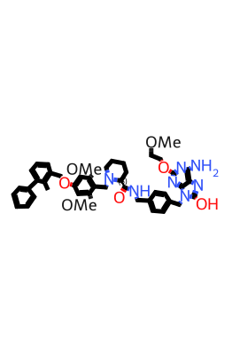 COCCOc1nc(N)c2nc(O)n(Cc3ccc(CNC(=O)[C@@H]4CCCCN4Cc4c(OC)cc(OCc5cccc(-c6ccccc6)c5C)cc4OC)cc3)c2n1